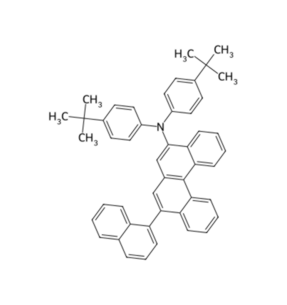 CC(C)(C)c1ccc(N(c2ccc(C(C)(C)C)cc2)c2cc3cc(-c4cccc5ccccc45)c4ccccc4c3c3ccccc23)cc1